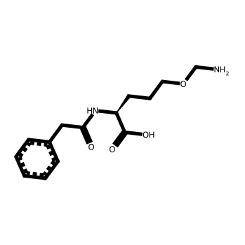 NCOCCC[C@H](NC(=O)Cc1ccccc1)C(=O)O